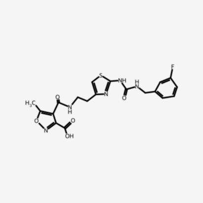 Cc1onc(C(=O)O)c1C(=O)NCCc1csc(NC(=O)NCc2cccc(F)c2)n1